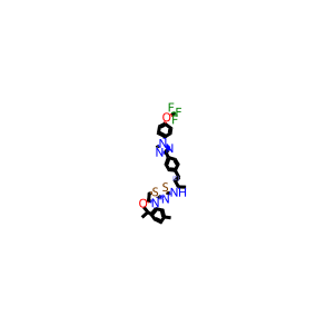 Cc1ccc(C(C)C)c(N2C(=O)CS/C2=N\C(=S)NC(C)/C=C/c2ccc(-c3ncn(-c4ccc(OC(F)(F)F)cc4)n3)cc2)c1